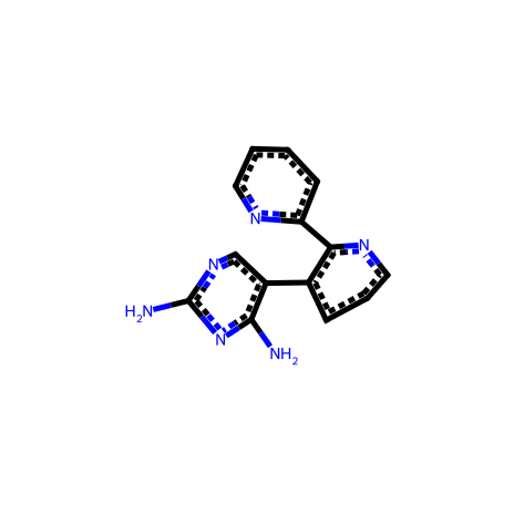 Nc1ncc(-c2cccnc2-c2ccccn2)c(N)n1